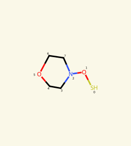 SON1CCOCC1